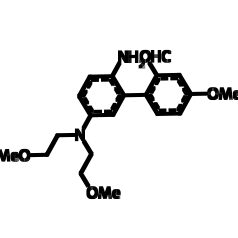 COCCN(CCOC)c1ccc(N)c(-c2ccc(OC)cc2C=O)c1